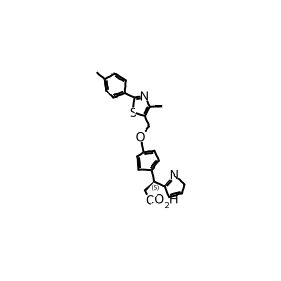 Cc1ccc(-c2nc(C)c(COc3ccc([C@H](CC(=O)O)C4=NCC=C4)cc3)s2)cc1